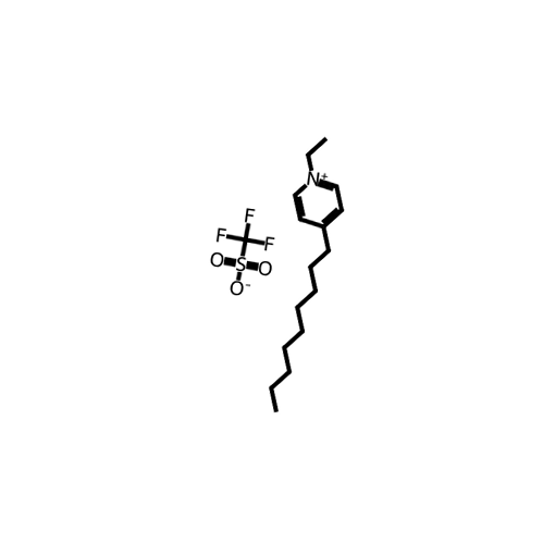 CCCCCCCCCc1cc[n+](CC)cc1.O=S(=O)([O-])C(F)(F)F